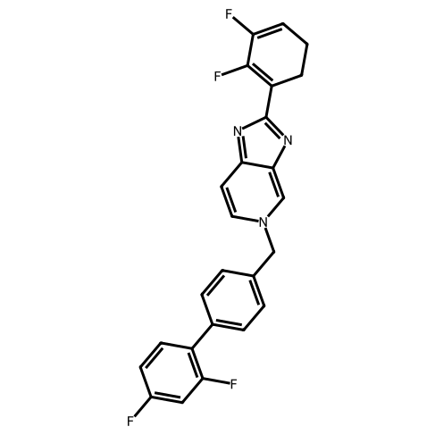 FC1=CCCC(c2nc3ccn(Cc4ccc(-c5ccc(F)cc5F)cc4)cc-3n2)=C1F